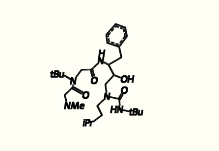 CNCC(=O)N(CC(=O)NC(Cc1ccccc1)C(O)CN(CCC(C)C)C(=O)NC(C)(C)C)C(C)(C)C